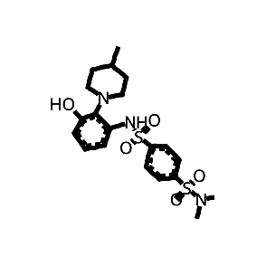 CC1CCN(c2c(O)cccc2NS(=O)(=O)c2ccc(S(=O)(=O)N(C)C)cc2)CC1